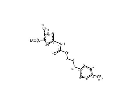 CCOC(=O)c1nc(NC(=O)OCCSc2ccc(C(F)(F)F)cc2)cn1C